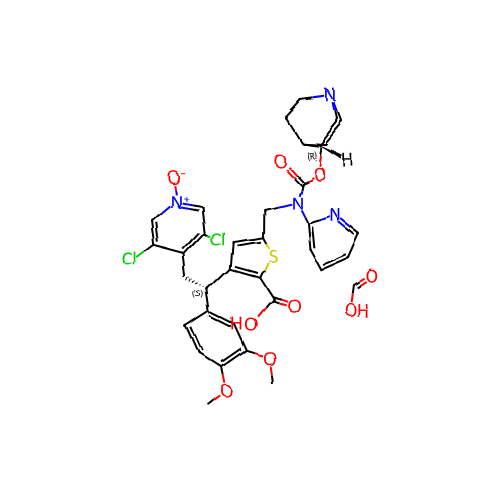 COc1ccc([C@H](Cc2c(Cl)c[n+]([O-])cc2Cl)c2cc(CN(C(=O)O[C@H]3CN4CCC3CC4)c3ccccn3)sc2C(=O)O)cc1OC.O=CO